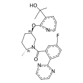 C[C@@H]1CC[C@@H](Oc2ncccc2C(C)(C)O)CN1C(=O)c1cc(F)ccc1-c1ncccn1